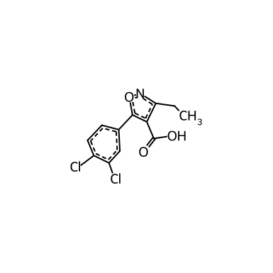 CCc1noc(-c2ccc(Cl)c(Cl)c2)c1C(=O)O